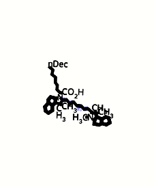 CCCCCCCCCCCCCCCCCC(C(=O)O)N1/C(=C/C=C/C=C/C=C/C2=[N+](C)c3ccc4ccccc4c3C2(C)C)C(C)(C)c2c1ccc1ccccc21